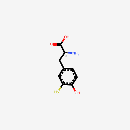 N[C@@H](Cc1ccc(O)c(S)c1)C(=O)O